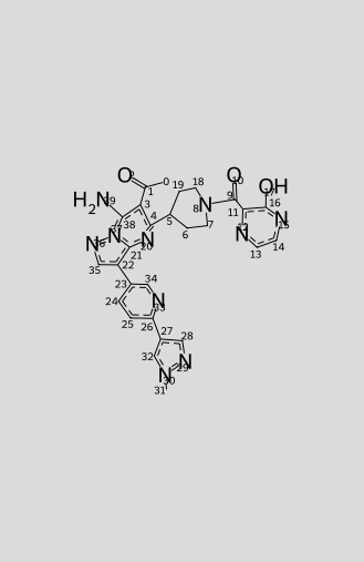 CC(=O)c1c(C2CCN(C(=O)c3nccnc3O)CC2)nc2c(-c3ccc(-c4cnn(C)c4)nc3)cnn2c1N